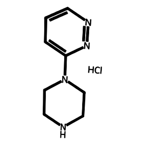 Cl.c1cnnc(N2CCNCC2)c1